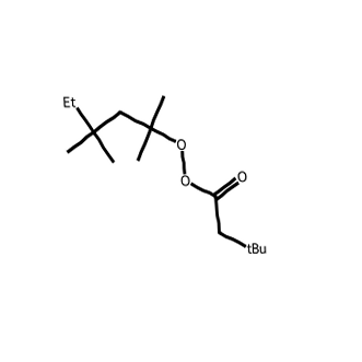 CCC(C)(C)CC(C)(C)OOC(=O)CC(C)(C)C